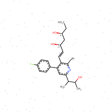 CC(C)c1nc(C(C)C(C)O)cc(-c2ccc(F)cc2)c1/C=C/[C@@H](O)C[C@@H](O)CC(=O)O